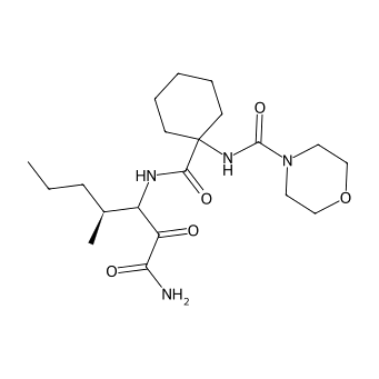 CCC[C@H](C)C(NC(=O)C1(NC(=O)N2CCOCC2)CCCCC1)C(=O)C(N)=O